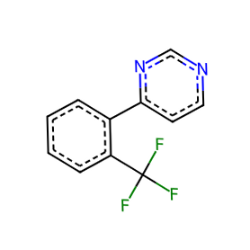 FC(F)(F)c1ccccc1-c1ccncn1